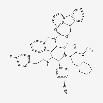 COC(=O)C(CC1CCCCC1)N(C(=O)C1Cc2ccccc2CN1C(=O)OCC1c2ccccc2-c2ccccc21)C(C(=O)NCCc1ccc(F)cc1)c1ccc(C#N)cc1